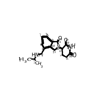 CC(C)NCc1cccc2c1CN(C1CCC(=O)NC1=O)C2=O